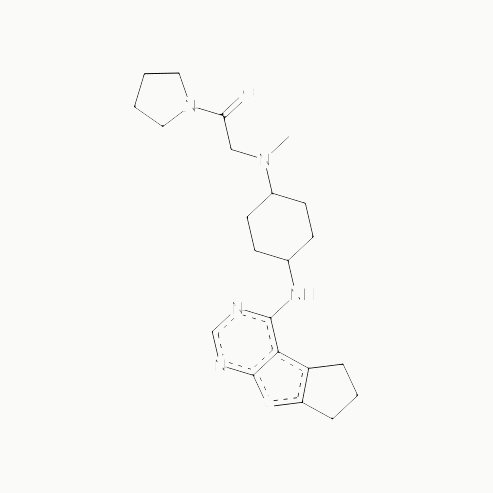 CN(CC(=O)N1CCCC1)C1CCC(Nc2ncnc3sc4c(c23)CCC4)CC1